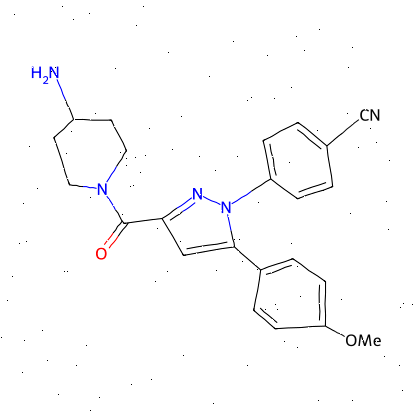 COc1ccc(-c2cc(C(=O)N3CCC(N)CC3)nn2-c2ccc(C#N)cc2)cc1